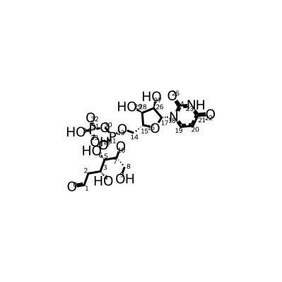 O=CC[C@@H](O)[C@H](O)[C@@H](CO)OP(=O)(OC[C@H]1O[C@@H](n2ccc(=O)[nH]c2=O)[C@H](O)[C@@H]1O)OP(=O)(O)O